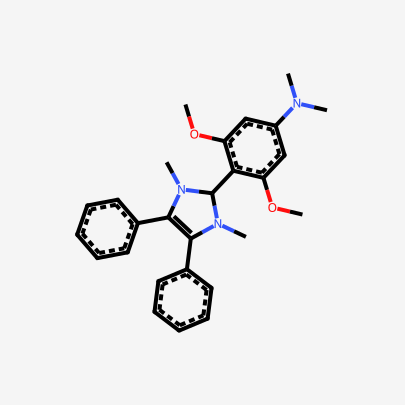 COc1cc(N(C)C)cc(OC)c1C1N(C)C(c2ccccc2)=C(c2ccccc2)N1C